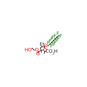 CCC(CC(C)(CC(C)C(=O)O)C(=O)OCCO)C(=O)OCC(F)(F)C(F)(F)C(F)(F)C(F)(F)C(F)(F)C(F)F